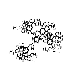 Cc1c(CNc2nc(NCc3cc(C(C)(C)C)c(O)c(C(C)(C)C)c3)nc(N(Cc3cc(C(C)(C)C)c(O)c(C(C)(C)C)c3)Cc3cc(C(C)(C)C)c(O)c(C(C)(C)C)c3)n2)cc(C(C)(C)C)c(O)c1C(C)(C)C